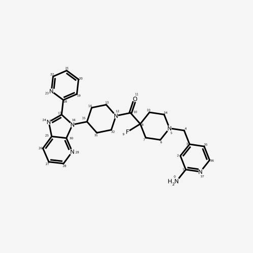 Nc1cc(CN2CCC(F)(C(=O)N3CCC(n4c(-c5ccccn5)nc5cccnc54)CC3)CC2)ccn1